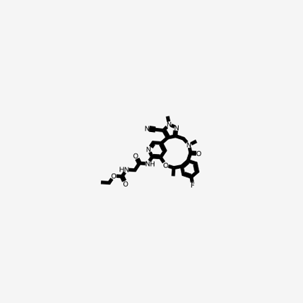 CCOC(=O)NCC(=O)Nc1ncc2cc1OC(C)c1cc(F)ccc1C(=O)N(C)Cc1nn(C)c(C#N)c1-2